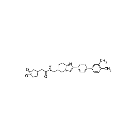 Cc1ccc(-c2ccc(-c3cn4c(n3)CCC(CNC(=O)CC3CCS(=O)(=O)C3)C4)cc2)cc1C